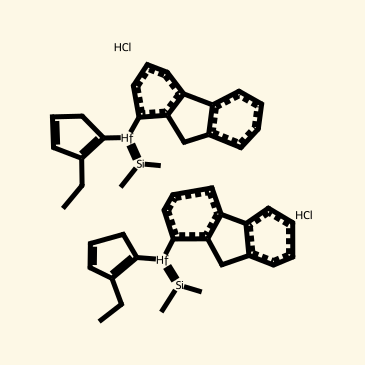 CCC1=[C]([Hf]([c]2cccc3c2Cc2ccccc2-3)=[Si](C)C)CC=C1.CCC1=[C]([Hf]([c]2cccc3c2Cc2ccccc2-3)=[Si](C)C)CC=C1.Cl.Cl